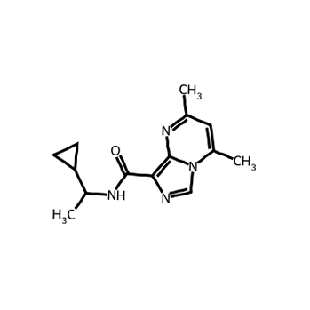 Cc1cc(C)n2cnc(C(=O)NC(C)C3CC3)c2n1